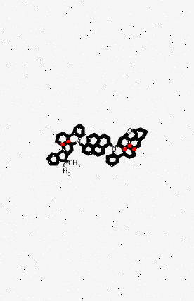 CC1(C)c2ccccc2-c2ccc(N(c3ccccc3-c3ccccc3)c3ccc4ccc5c(N(c6cc7ccc8cccc9oc(c6)c7c89)c6ccccc6-c6ccccc6)ccc6ccc3c4c65)cc21